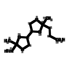 CCCCCCC1(C)OCC(C2COC(C)(CCC(=O)O)O2)O1